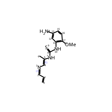 C=C/C=N\C=C(/C)NC(=S)Nc1cc(N)ccc1OC